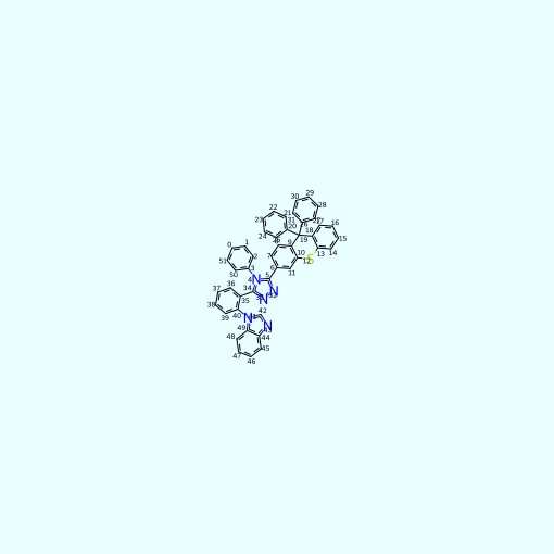 c1ccc(-n2c(-c3ccc4c(c3)Sc3ccccc3C4(c3ccccc3)c3ccccc3)nnc2-c2ccccc2-n2cnc3ccccc32)cc1